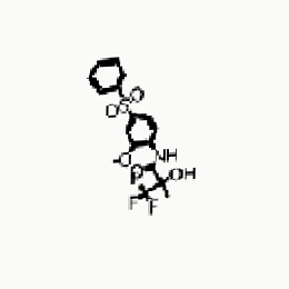 COc1cc(S(=O)(=O)c2ccccc2)ccc1NC(=O)C(C)(O)C(F)(F)F